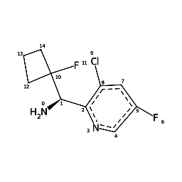 N[C@H](c1ncc(F)cc1Cl)C1(F)CCC1